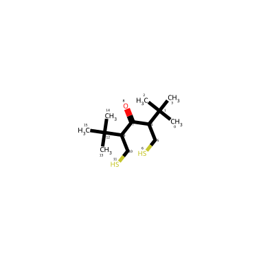 CC(C)(C)C(CS)C(=O)C(CS)C(C)(C)C